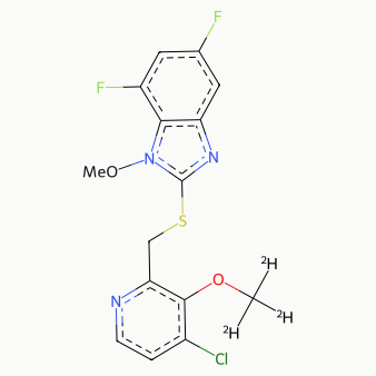 [2H]C([2H])([2H])Oc1c(Cl)ccnc1CSc1nc2cc(F)cc(F)c2n1OC